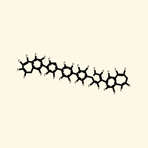 CC(F)/C(F)=C(\C(F)=C(\F)Cc1c(F)c(F)c(-c2c(F)c(F)c(-c3cc(F)c(-c4c(F)c(F)c5c(c4F)CC(F)=C(F)C(F)=C5F)c(F)c3F)c(F)c2F)c(F)c1F)c1c(F)c(F)c2c(c1F)C(F)=C(F)CC(F)=C2F